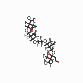 CCCC(C)(OC(F)(F)C(F)(C(F)(F)F)C(C)(CC)OC(F)(F)C(F)(F)OC(C)(CC)C(F)(C(F)(F)F)C(F)(F)OC(C)(CC)C(F)(C(=O)F)C(F)(F)F)C(F)(C(=O)F)C(F)(F)F